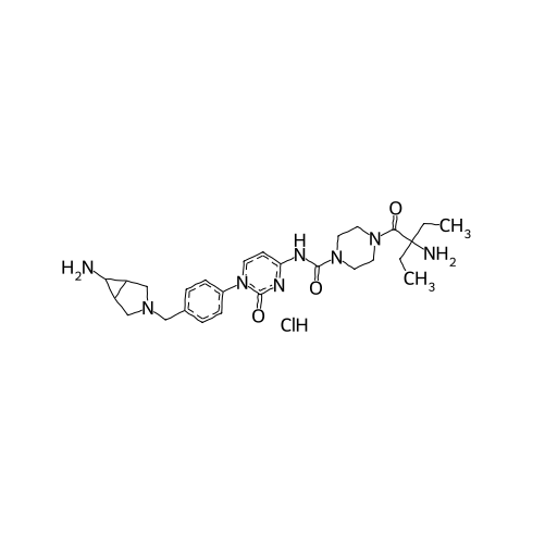 CCC(N)(CC)C(=O)N1CCN(C(=O)Nc2ccn(-c3ccc(CN4CC5C(N)C5C4)cc3)c(=O)n2)CC1.Cl